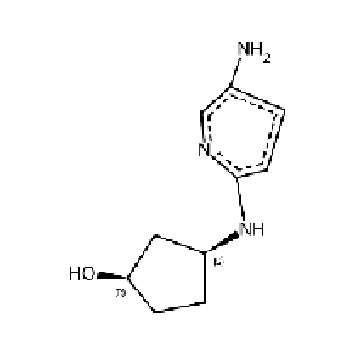 Nc1ccc(N[C@H]2CC[C@@H](O)C2)nc1